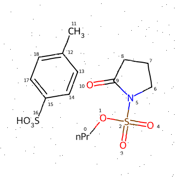 CCCOS(=O)(=O)N1CCCC1=O.Cc1ccc(S(=O)(=O)O)cc1